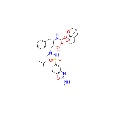 CNc1nc2cc(S(=O)(=O)NN(CCC(C)C)C[C@@H](O)[C@H](Cc3ccccc3)NC(=O)OC3C4COC5OC3CC5C4)ccc2o1